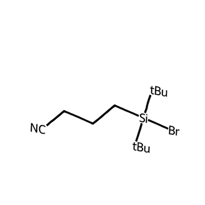 CC(C)(C)[Si](Br)(CCCC#N)C(C)(C)C